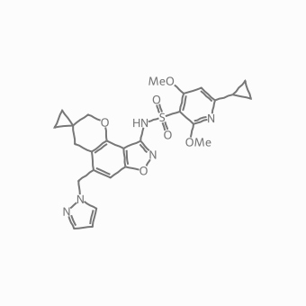 COc1cc(C2CC2)nc(OC)c1S(=O)(=O)Nc1noc2cc(Cn3cccn3)c3c(c12)OCC1(CC1)C3